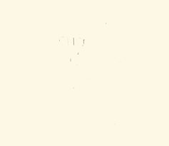 C=COC=O.c1ccc(C2CCCCC2)cc1